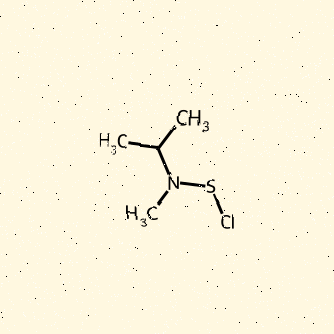 CC(C)N(C)SCl